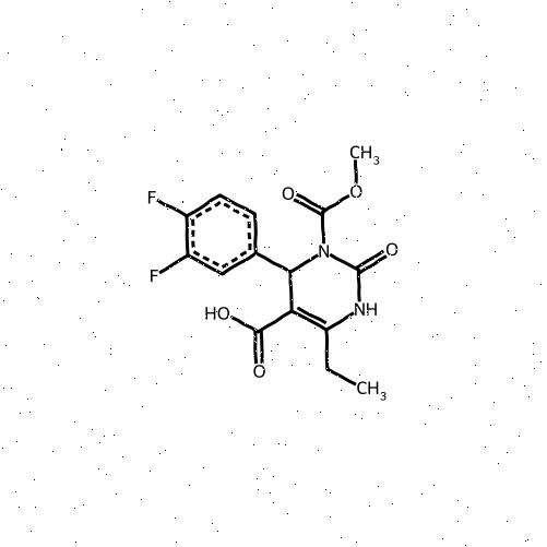 CCC1=C(C(=O)O)C(c2ccc(F)c(F)c2)N(C(=O)OC)C(=O)N1